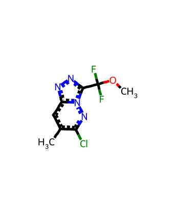 COC(F)(F)c1nnc2cc(C)c(Cl)nn12